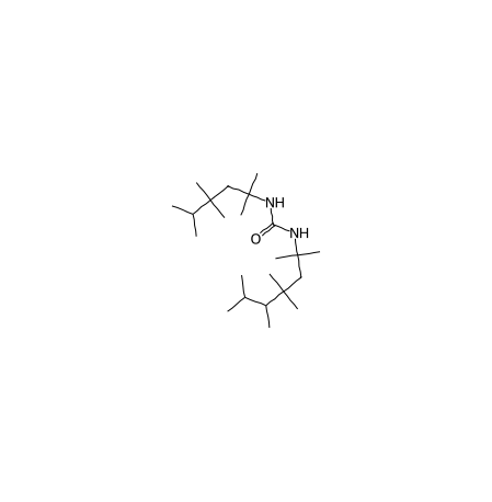 CC(C)C(C)C(C)(C)CC(C)(C)NC(=O)NC(C)(C)CC(C)(C)C(C)C